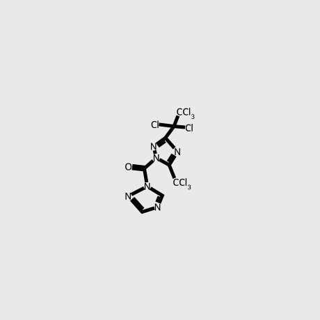 O=C(n1cncn1)n1nc(C(Cl)(Cl)C(Cl)(Cl)Cl)nc1C(Cl)(Cl)Cl